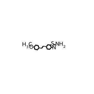 COc1ccc(/C=C/c2ccc3nc(N)sc3c2)cc1